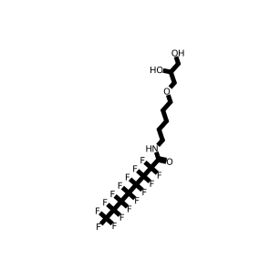 O=C(NCCCCCOCC(O)CO)C(F)(F)C(F)(F)C(F)(F)C(F)(F)C(F)(F)C(F)(F)C(F)(F)F